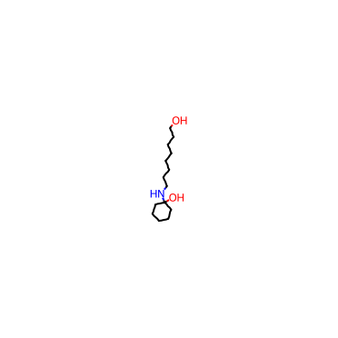 OCCCCCCCCNC1(O)CCCCC1